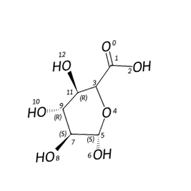 O=C(O)C1O[C@H](O)[C@@H](O)[C@H](O)[C@H]1O